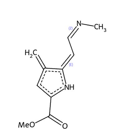 C=c1cc(C(=O)OC)[nH]/c1=C/C=N\C